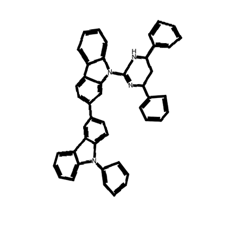 c1ccc(C2CC(c3ccccc3)NC(n3c4ccccc4c4ccc(-c5ccc6c(c5)c5ccccc5n6-c5ccccc5)cc43)=N2)cc1